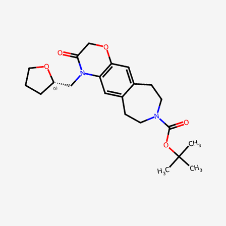 CC(C)(C)OC(=O)N1CCc2cc3c(cc2CC1)N(C[C@@H]1CCCO1)C(=O)CO3